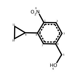 O=[N+]([O-])c1ccc([CH]O)cc1C1CC1